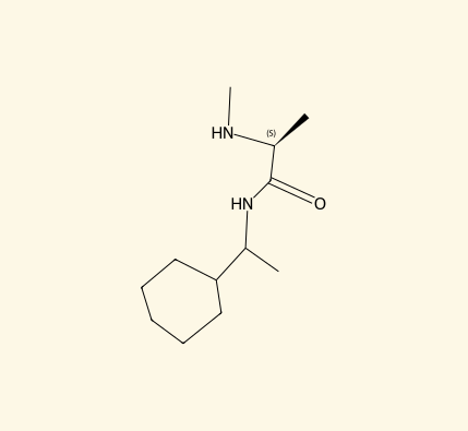 CN[C@@H](C)C(=O)NC(C)C1CCCCC1